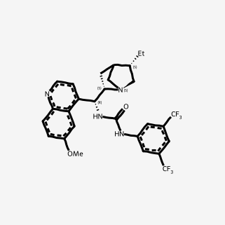 CC[C@@H]1C[N@]2CC1C[C@H]2[C@H](NC(=O)Nc1cc(C(F)(F)F)cc(C(F)(F)F)c1)c1ccnc2ccc(OC)cc12